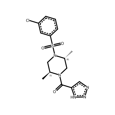 C[C@@H]1CN(C(=O)c2cnn[nH]2)[C@@H](C)CN1S(=O)(=O)c1cccc(Cl)c1